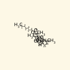 CCCCCCCOC(=O)C(C)(C)COS(=O)(=O)ON1C(=O)N2C[C@H]1CC[C@H]2C